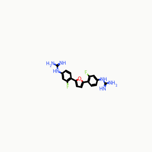 N=C(N)Nc1ccc(-c2ccc(-c3ccc(NC(=N)N)cc3F)o2)c(F)c1